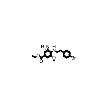 CCOC(=O)c1cc(N)c(NCCc2ccc(Br)cc2)c(OC)c1